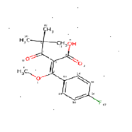 COC(=C(C(=O)O)C(=O)C(C)(C)C)c1ccc(F)cc1